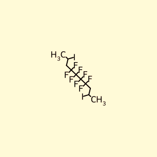 CC(I)CC(F)(F)C(F)(F)C(F)(F)C(F)(F)CC(C)I